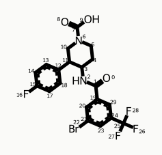 O=C(NC1CCN(C(=O)O)CC1c1ccc(F)cc1)c1cc(Br)cc(C(F)(F)F)c1